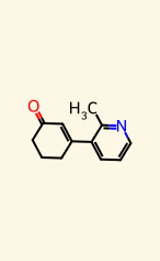 Cc1ncccc1C1=CC(=O)CCC1